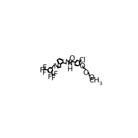 COCCOCCOc1ccc(C(=O)N/N=C/c2cccc3c2ccn3Cc2cc(C(F)(F)F)cc(C(F)(F)F)c2)cc1Cl